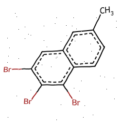 Cc1ccc2c(Br)c(Br)c(Br)cc2c1